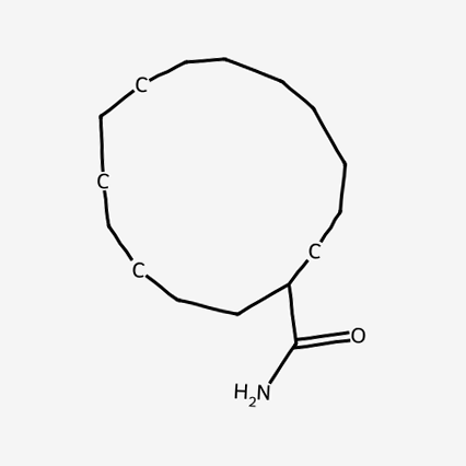 NC(=O)C1CCCCCCCCCCCCCC1